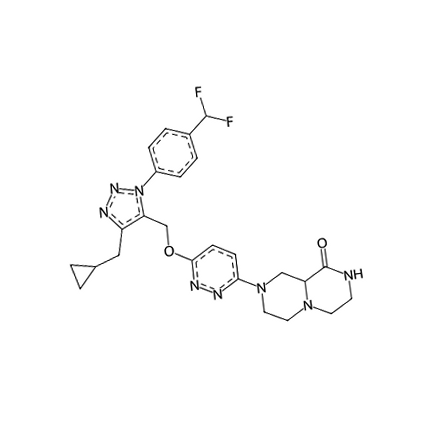 O=C1NCCN2CCN(c3ccc(OCc4c(CC5CC5)nnn4-c4ccc(C(F)F)cc4)nn3)CC12